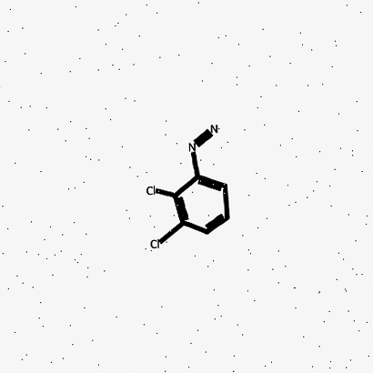 [N]=Nc1cccc(Cl)c1Cl